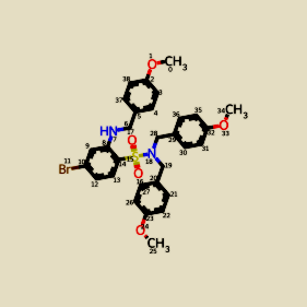 COc1ccc(CNc2cc(Br)ccc2S(=O)(=O)N(Cc2ccc(OC)cc2)Cc2ccc(OC)cc2)cc1